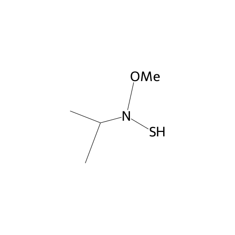 CON(S)C(C)C